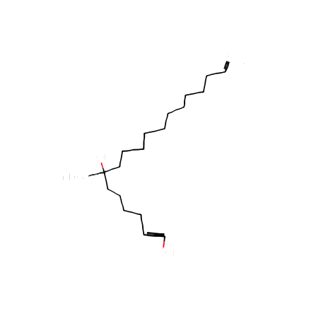 C=CCCCCCCCC[CH]CC(O)(CCCCC=CO)CCCCCCCCCC